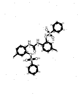 Cc1ccc(NC(=O)Nc2ccc(C)cc2OS(=O)(=O)c2ccccc2)c(OS(=O)(=O)c2ccccc2)c1